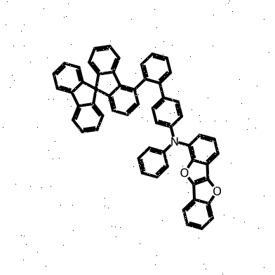 c1ccc(N(c2ccc(-c3ccccc3-c3cccc4c3-c3ccccc3C43c4ccccc4-c4ccccc43)cc2)c2cccc3c2oc2c4ccccc4oc32)cc1